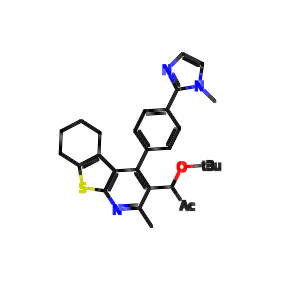 CC(=O)C(OC(C)(C)C)c1c(C)nc2sc3c(c2c1-c1ccc(-c2nccn2C)cc1)CCCC3